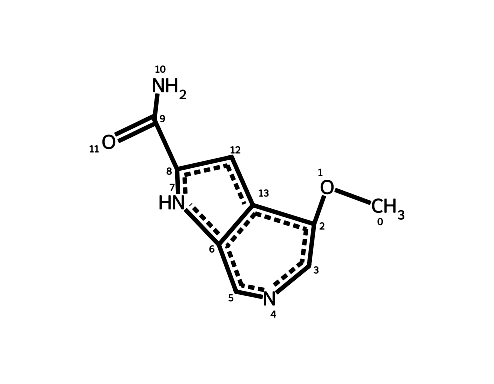 COc1cncc2[nH]c(C(N)=O)cc12